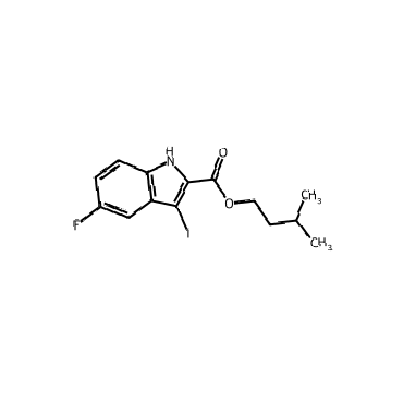 CC(C)CCOC(=O)c1[nH]c2ccc(F)cc2c1I